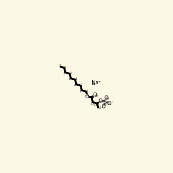 CCCCCCCCCCOC(=O)CC(C)OS(=O)(=O)[O-].[Na+]